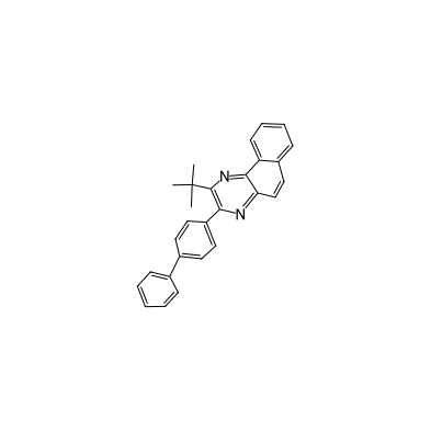 CC(C)(C)c1nc2c(ccc3ccccc32)nc1-c1ccc(-c2ccccc2)cc1